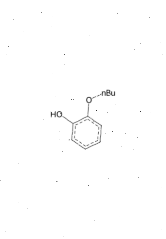 CCCCOc1ccc[c]c1O